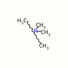 CCCCCCCC(CCCCCCC)N(CCC)CCC